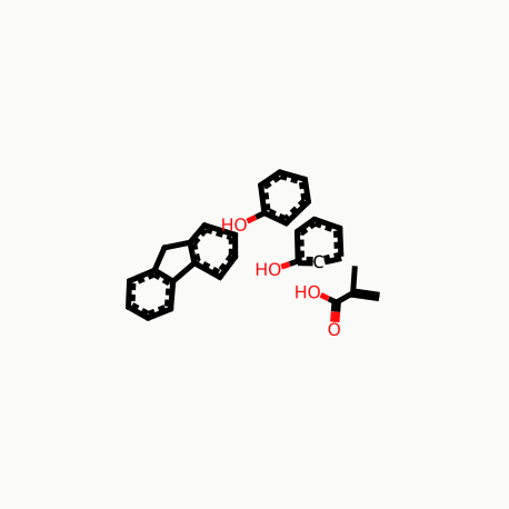 C=C(C)C(=O)O.Oc1ccccc1.Oc1ccccc1.c1ccc2c(c1)Cc1ccccc1-2